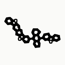 c1ccc2c(c1)oc1cc(-c3c4ccccc4c(-c4ccc5oc6cc7cc8c(cc7cc6c5c4)oc4ccccc48)c4ccccc34)ccc12